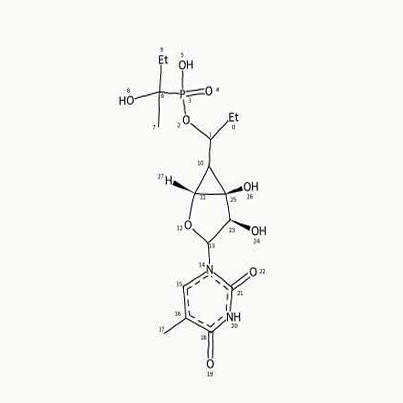 CCC(OP(=O)(O)C(C)(O)CC)C1[C@H]2OC(n3cc(C)c(=O)[nH]c3=O)[C@H](O)[C@@]12O